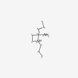 CCC[SiH]1CCC1(N)CCC